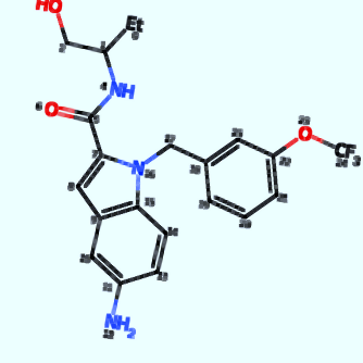 CCC(CO)NC(=O)c1cc2cc(N)ccc2n1Cc1cccc(OC(F)(F)F)c1